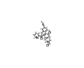 CC#Cc1cc(C)c(C2=C(OC(=O)c3ccccn3)CC3(CCN(C=O)CC3)CC2=O)c(C)c1